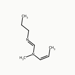 C/C=C\N(C)/C=N/CCC